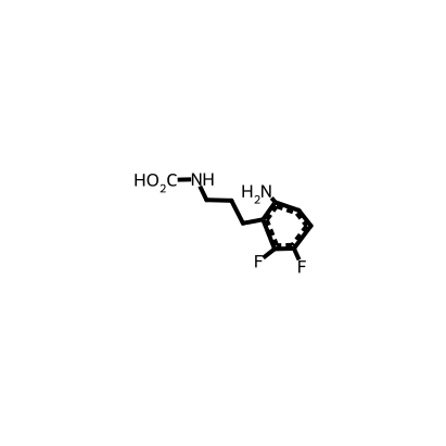 Nc1ccc(F)c(F)c1CCCNC(=O)O